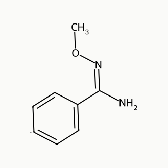 CO/N=C(/N)c1cc[c]cc1